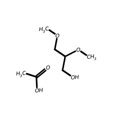 CC(=O)O.COCC(CO)OC